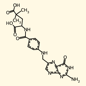 CC(C)(CC(NC(=O)c1ccc(NCc2cnc3nc(N)[nH]c(=O)c3n2)cc1)C(=O)O)C(=O)O